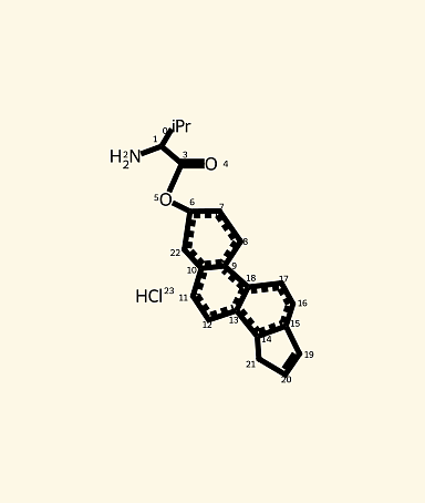 CC(C)C(N)C(=O)Oc1ccc2c(ccc3c4c(ccc32)C=CC4)c1.Cl